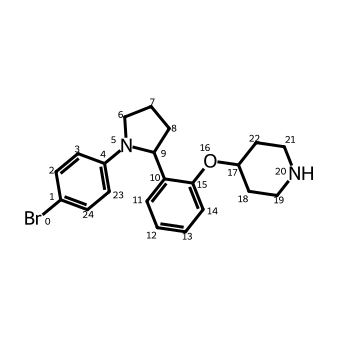 Brc1ccc(N2CCCC2c2ccccc2OC2CCNCC2)cc1